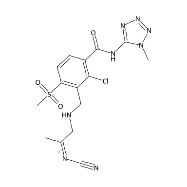 C/C(CNCc1c(S(C)(=O)=O)ccc(C(=O)Nc2nnnn2C)c1Cl)=N/C#N